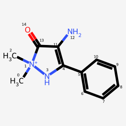 C[N+]1(C)NC(c2ccccc2)=C(N)C1=O